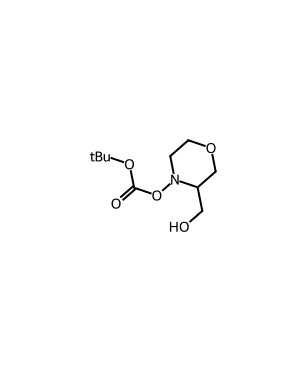 CC(C)(C)OC(=O)ON1CCOCC1CO